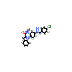 CCN(C(=O)c1cc2ccccc2[nH]1)[C@H]1CCC=C(NCc2ccc(Cl)cc2)C1